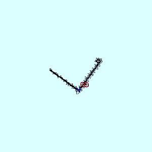 C#CC#CC#CC#CC#CC#CC#CC#CN(C)CCCOC(=O)CCCCCCCCCCCCC1CCCC1